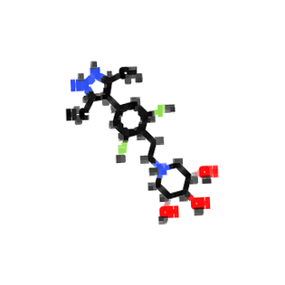 Cc1n[nH]c(C)c1-c1cc(F)c(CCN2C[C@@H](O)C(O)[C@@H](O)C2)c(F)c1